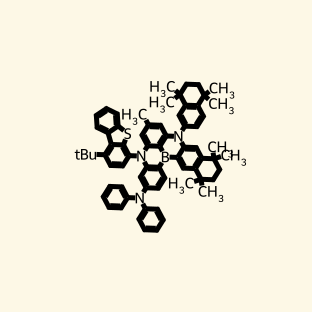 Cc1cc2c3c(c1)N(c1ccc(C(C)(C)C)c4c1sc1ccccc14)c1cc(N(c4ccccc4)c4ccccc4)ccc1B3c1cc3c(cc1N2c1ccc2c(c1)C(C)(C)CCC2(C)C)C(C)(C)CCC3(C)C